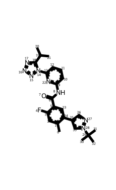 Cc1cc(F)c(C(=O)Nc2cccc(-n3nnnc3C(C)C)n2)cc1-c1cnn(C(C)(C)C)c1